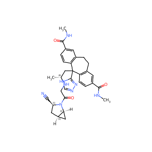 CNC(=O)c1ccc2c(c1)CCc1cc(C(=O)NC)ccc1C2(C[C@@H](C)NCC(=O)N1[C@H](C#N)C[C@@H]2C[C@@H]21)c1nnc[nH]1